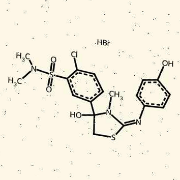 Br.CN1/C(=N\c2ccc(O)cc2)SCC1(O)c1ccc(Cl)c(S(=O)(=O)N(C)C)c1